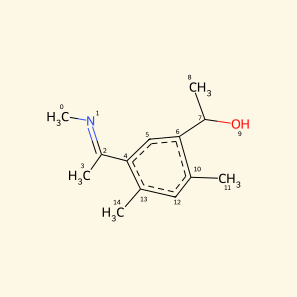 C/N=C(\C)c1cc(C(C)O)c(C)cc1C